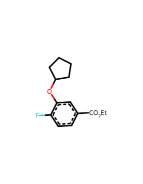 CCOC(=O)c1ccc(F)c(OC2CCCC2)c1